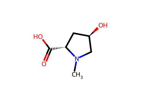 CN1C[C@H](O)C[C@H]1C(=O)O